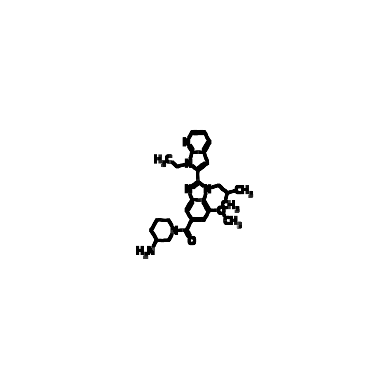 CCn1c(-c2nc3cc(C(=O)N4CCCC(N)C4)cc(OC)c3n2CC(C)C)cc2cccnc21